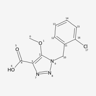 COc1c(C(=O)O)nnn1Cc1ccccc1Cl